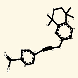 CC1(C)CCC(C)(C)c2cc(CC#Cc3ccc(C(=O)Cl)cc3)ccc21